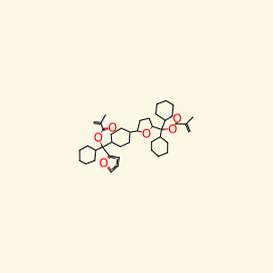 C=C(C)C(=O)OC(c1ccco1)(C1CCCCC1)C1CCC(C2CCC(C(OC(=O)C(=C)C)(C3CCCCC3)C3CCCCC3)O2)CC1